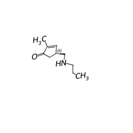 CCCNC[C@@H]1C=C(C)C(=O)C1